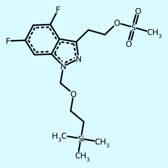 C[Si](C)(C)CCOCn1nc(CCOS(C)(=O)=O)c2c(F)cc(F)cc21